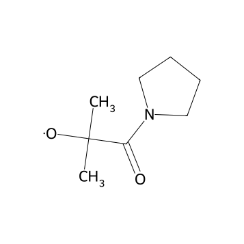 CC(C)([O])C(=O)N1CCCC1